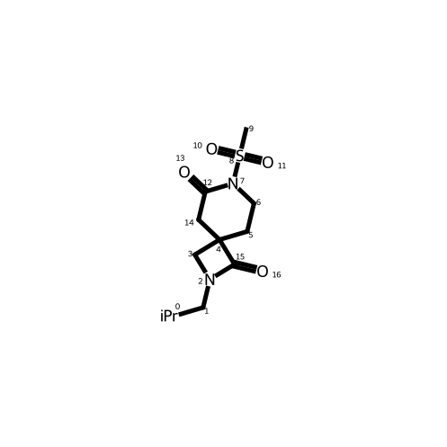 CC(C)CN1CC2(CCN(S(C)(=O)=O)C(=O)C2)C1=O